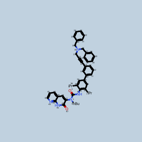 CCCCN(C(=O)Nc1c(C(C)C)cc(-c2cccc(C#CCN(Cc3ccccc3)Cc3ccccc3)c2)cc1C(C)C)c1cc2cccnc2[nH]c1=O